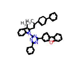 C/C(=C\c1c(C)c2ccccc2n1-c1nc(-c2ccccc2)nc(-c2ccc3c(c2)oc2ccccc23)n1)C1=CC=C(c2ccccc2)CC1